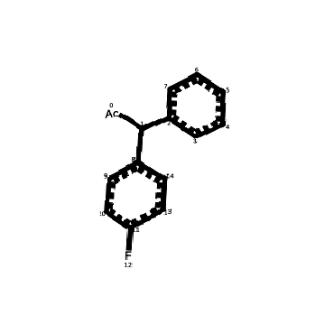 CC(=O)C(c1cc[c]cc1)c1ccc(F)cc1